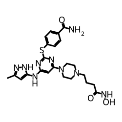 Cc1cc(Nc2cc(N3CCN(CCCC(=O)NO)CC3)nc(Sc3ccc(C(N)=O)cc3)n2)[nH]n1